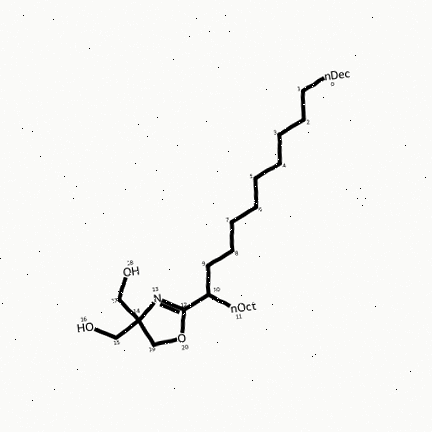 CCCCCCCCCCCCCCCCCCCC(CCCCCCCC)C1=NC(CO)(CO)CO1